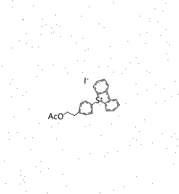 CC(=O)OCCc1ccc(-[s+]2c3ccccc3c3ccccc32)cc1.[I-]